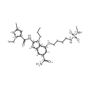 CCCn1c(NC(=O)c2cc(C)nn2CC)nc2cc(C(N)=O)cc(OCCCCNS(=O)(=O)NC)c21